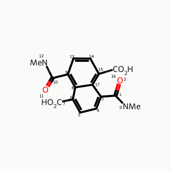 CNC(=O)c1ccc(C(=O)O)c2c(C(=O)NC)ccc(C(=O)O)c12